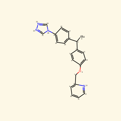 CC(C)(C)C(c1ccc(OCc2ccccn2)cc1)c1ccc(-n2cnnc2)cc1